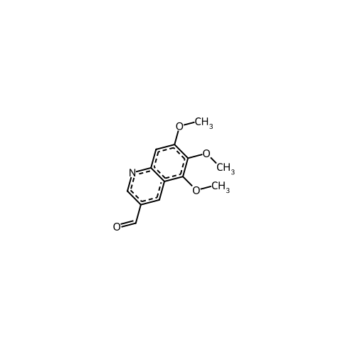 COc1cc2ncc(C=O)cc2c(OC)c1OC